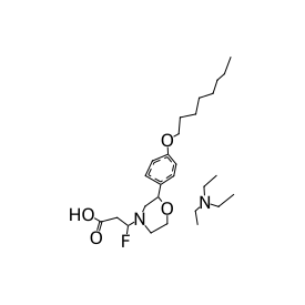 CCCCCCCCOc1ccc(C2CN(C(F)CC(=O)O)CCO2)cc1.CCN(CC)CC